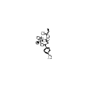 C=CC(=O)OCCC(OP(=O)(O)O)c1ccc(OC)cc1